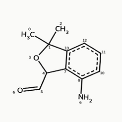 CC1(C)OC(C=O)c2c(N)cccc21